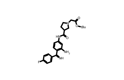 CC(C)(C)OC(=O)CN1CCC(C(=O)Nc2ccc(C(=N)c3ccc(F)cc3)c(N)c2)C1